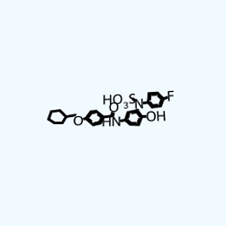 O=C(Nc1ccc(O)c(N(c2ccc(F)cc2)S(=O)(=O)O)c1)c1ccc(OCC2CCCCC2)cc1